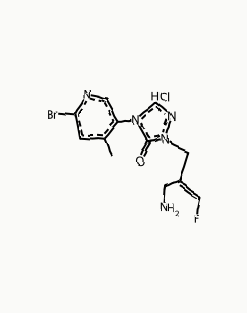 Cc1cc(Br)ncc1-n1cnn(C/C(=C/F)CN)c1=O.Cl